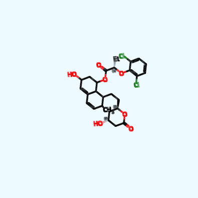 CC[C@H](Oc1c(Cl)cccc1Cl)C(=O)OC1CC(O)C=C2C=CC(C)C(CC[C@@H]3C[C@@H](O)CC(=O)O3)C21